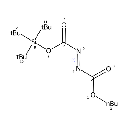 CCCCOC(=O)/N=N/C(=O)O[Si](C(C)(C)C)(C(C)(C)C)C(C)(C)C